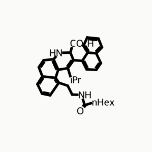 CCCCCCC(=O)NCCc1cccc2ccc3c(c12)C(C(C)C)=C(c1cccc2ccccc12)C(C(=O)O)N3